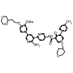 COc1cc(-c2cnc(N)c(-c3ccc(NC(=O)c4cn(CC5CCOCC5)cc(-c5ccc(C)cc5)c4=O)cn3)c2)ccc1OCCC1COCCO1